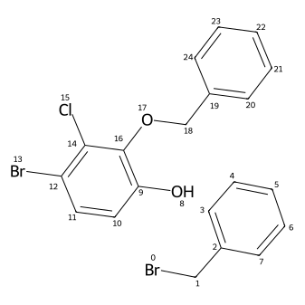 BrCc1ccccc1.Oc1ccc(Br)c(Cl)c1OCc1ccccc1